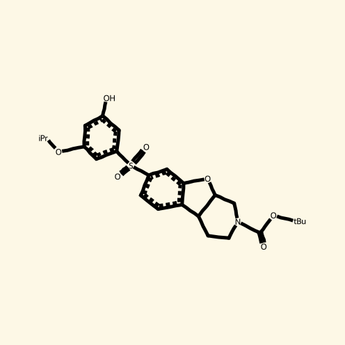 CC(C)Oc1cc(O)cc(S(=O)(=O)c2ccc3c(c2)OC2CN(C(=O)OC(C)(C)C)CCC32)c1